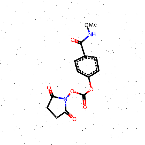 CONC(=O)c1ccc(OC(=O)ON2C(=O)CCC2=O)cc1